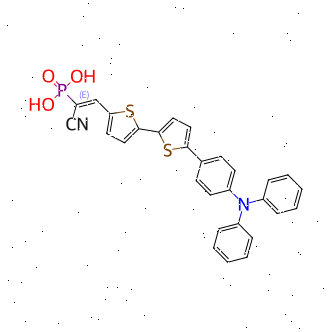 N#C/C(=C\c1ccc(-c2ccc(-c3ccc(N(c4ccccc4)c4ccccc4)cc3)s2)s1)P(=O)(O)O